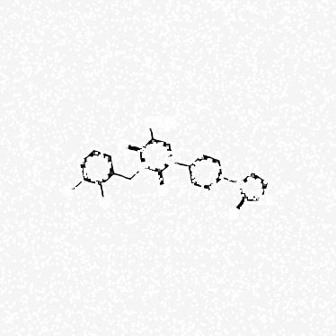 CCOC(=O)c1cn(-c2ccc(-n3cc[nH]c3=O)cc2)c(=O)n(Cc2cccc(Cl)c2Cl)c1=O